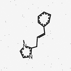 Cn1ccnc1C/C=C/c1ccccc1